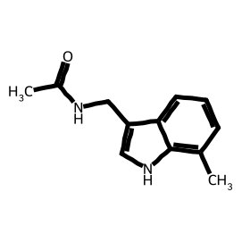 CC(=O)NCc1c[nH]c2c(C)cccc12